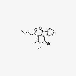 CCCCC(=O)NC1=C(C(Br)C(CC)CC)c2ccccc2C1=O